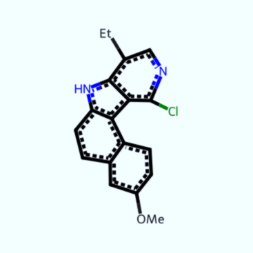 CCc1cnc(Cl)c2c1[nH]c1ccc3cc(OC)ccc3c12